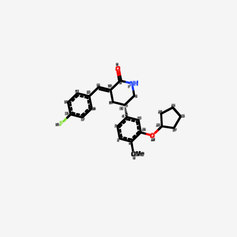 COc1ccc([C@H]2CNC(=O)C(=Cc3ccc(F)cc3)C2)cc1OC1CCCC1